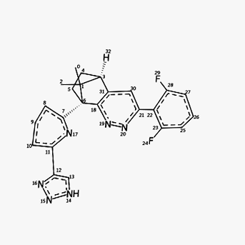 CC1(C)[C@H]2CC[C@]1(c1cccc(-c3c[nH]nn3)n1)c1nnc(-c3c(F)cccc3F)cc12